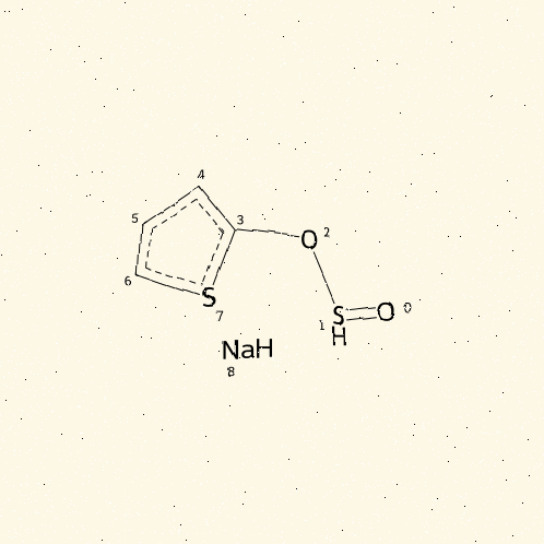 O=[SH]Oc1cccs1.[NaH]